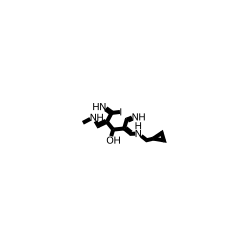 CN/C=C(\C(=N)I)C(O)/C(C=N)=C/NCC1CC1